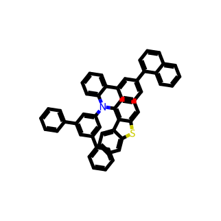 c1ccc(-c2cc(-c3ccccc3)cc(N(c3ccccc3-c3cccc(-c4cccc5ccccc45)c3)c3cccc4sc5ccccc5c34)c2)cc1